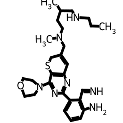 CCCNCC(C)CCN(C)CC1=Cc2nc(-c3cccc(N)c3C=N)nc(N3CCOCC3)c2SC1